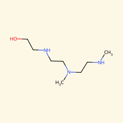 CNCCN(C)CCNCCO